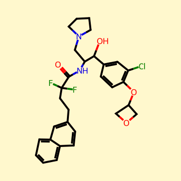 O=C(NC(CN1CCCC1)C(O)c1ccc(OC2COC2)c(Cl)c1)C(F)(F)CCc1ccc2ccccc2c1